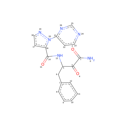 NC(=O)C(=O)C(Cc1ccccc1)NC(=O)c1ccnn1-c1ccncn1